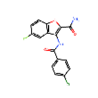 NC(=O)c1oc2ccc(F)cc2c1NC(=O)c1ccc(Cl)cc1